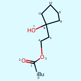 CCC(C)C(=O)OCCC1(O)CCCC1